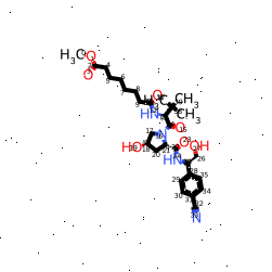 COC(=O)CCCCCCC(=O)N[C@H](C(=O)N1C[C@H](O)C[C@H]1C(=O)N[C@@H](CO)c1ccc(C#N)cc1)C(C)(C)C